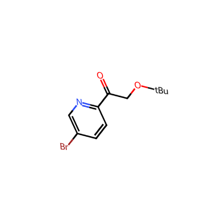 CC(C)(C)OCC(=O)c1ccc(Br)cn1